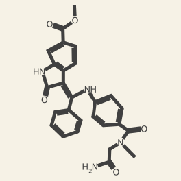 COC(=O)c1ccc2c(c1)NC(=O)C2=C(Nc1ccc(C(=O)N(C)CC(N)=O)cc1)c1ccccc1